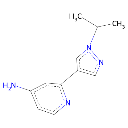 CC(C)n1cc(-c2cc(N)ccn2)cn1